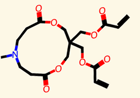 C=CC(=O)OCC1(COC(=O)C=C)COC(=O)CCN(C)CCC(=O)OC1